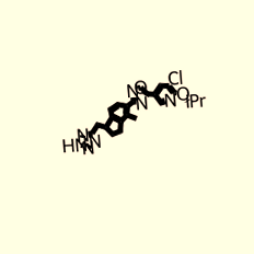 Cc1c(-c2noc(-c3cnc(OC(C)C)c(Cl)c3)n2)ccc2c1CCC2Cc1nn[nH]n1